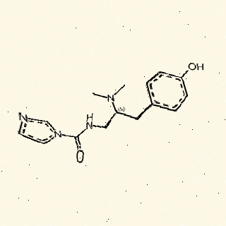 CN(C)[C@H](CNC(=O)n1ccnc1)Cc1ccc(O)cc1